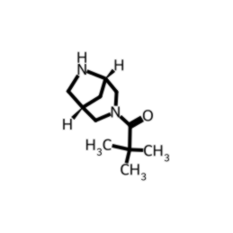 CC(C)(C)C(=O)N1C[C@@H]2CN[C@@H](C2)C1